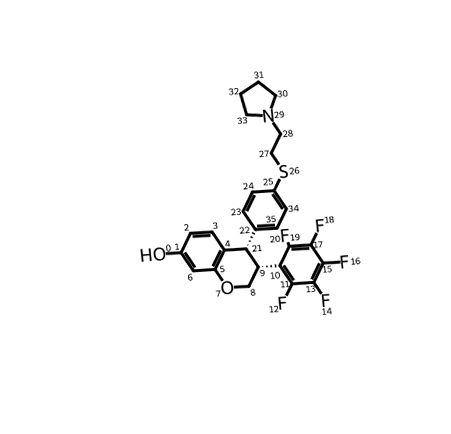 Oc1ccc2c(c1)OC[C@@H](c1c(F)c(F)c(F)c(F)c1F)[C@H]2c1ccc(SCCN2CCCC2)cc1